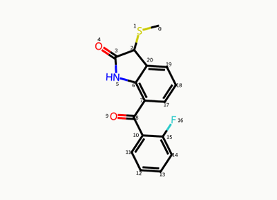 CSC1C(=O)Nc2c(C(=O)c3ccccc3F)cccc21